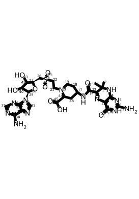 CC1(C)Nc2nc(N)[nH]c(=O)c2N=C1C(=O)NC1CCN(CCS(=O)(=O)C[C@H]2O[C@@H](n3cnc4c(N)ncnc43)C(O)C2O)C(C(=O)O)C1